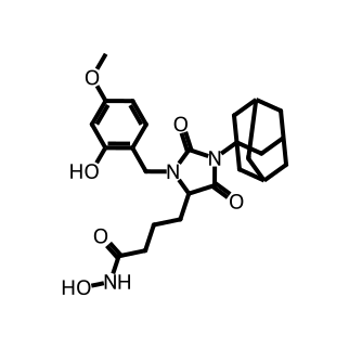 COc1ccc(CN2C(=O)N(C34CC5CC(CC(C5)C3)C4)C(=O)C2CCCC(=O)NO)c(O)c1